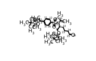 CC(O[Si](C)(C)C(C)(C)C)c1ccc(S(=O)(=O)N(C(C)C)[C@@H](CCCC=O)CO[Si](C)(C)C(C)(C)C)cc1